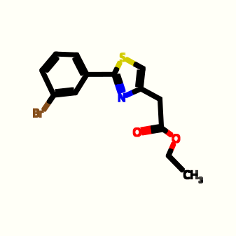 CCOC(=O)Cc1csc(-c2cccc(Br)c2)n1